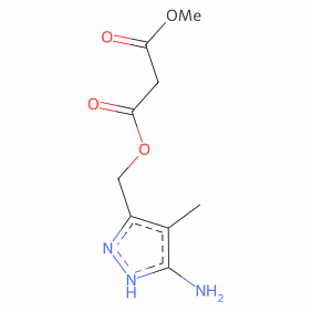 COC(=O)CC(=O)OCc1n[nH]c(N)c1C